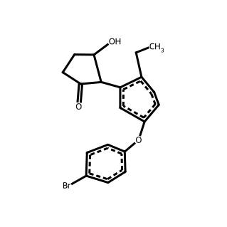 CCc1ccc(Oc2ccc(Br)cc2)cc1C1C(=O)CCC1O